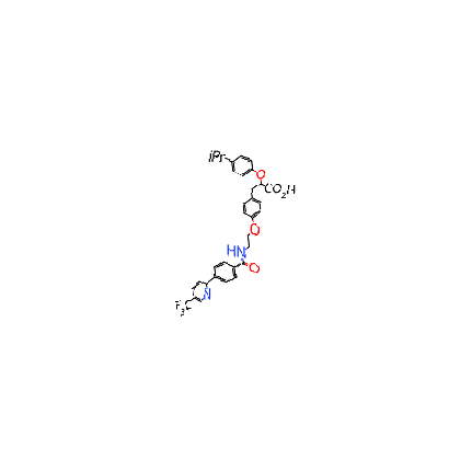 CC(C)c1ccc(OC(Cc2ccc(OCCNC(=O)c3ccc(-c4ccc(C(F)(F)F)cn4)cc3)cc2)C(=O)O)cc1